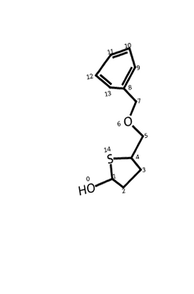 OC1CCC(COCc2ccccc2)S1